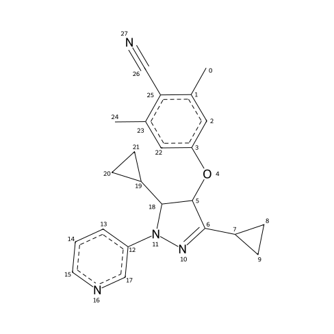 Cc1cc(OC2C(C3CC3)=NN(c3cccnc3)C2C2CC2)cc(C)c1C#N